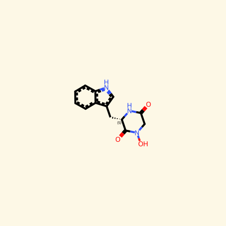 O=C1CN(O)C(=O)[C@H](Cc2c[nH]c3ccccc23)N1